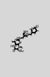 Cc1nc(NC/C(C=N)=C/NCc2ccc(Cl)nc2)nc2c1NC(=O)[C@H](C(C)(C)C)N2C